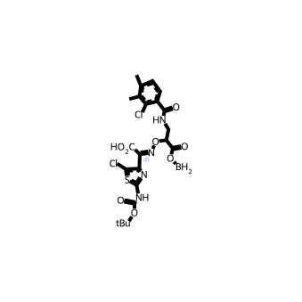 BOC(=O)C(CNC(=O)c1ccc(C)c(C)c1Cl)O/N=C(\C(=O)O)c1nc(NC(=O)OC(C)(C)C)sc1Cl